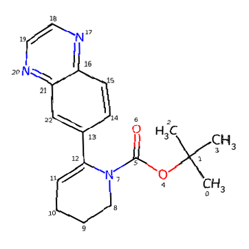 CC(C)(C)OC(=O)N1CCCC=C1c1ccc2nccnc2c1